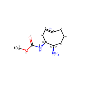 CC(C)(C)OC(=O)N[C@H]1C/C=C/CCC[C@H]1N